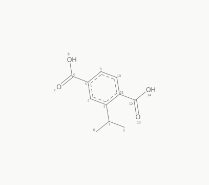 CC(C)c1cc(C(=O)O)ccc1C(=O)O